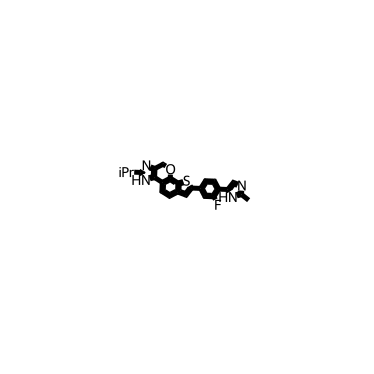 Cc1ncc(-c2ccc(-c3cc4ccc5c(c4s3)OCc3nc(C(C)C)[nH]c3-5)cc2F)[nH]1